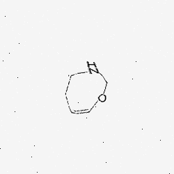 [CH]1CC=COCN1